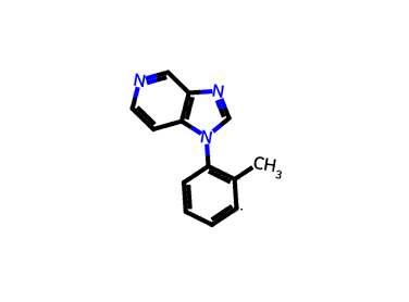 Cc1[c]cccc1-n1cnc2cnccc21